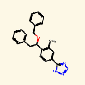 COc1cc(-c2nnn[nH]2)ccc1C(Cc1ccccc1)OCc1ccccc1